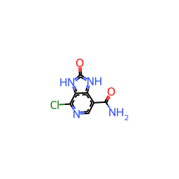 NC(=O)c1cnc(Cl)c2[nH]c(=O)[nH]c12